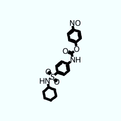 O=Nc1ccc(OC(=O)Nc2ccc(S(=O)(=O)NC3CCCCC3)cc2)cc1